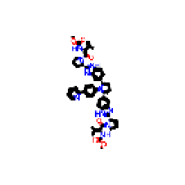 COC(=O)N[C@H](C(=O)N1CCC[C@H]1C1=NC2=CC([C@H]3CC[C@H](c4ccc5[nH]c([C@@H]6CCCN6C(=O)[C@@H](NC(=O)OC)C(C)C)nc5c4)N3c3ccc(-c4ccccn4)cc3)=CCC2N1)C(C)C